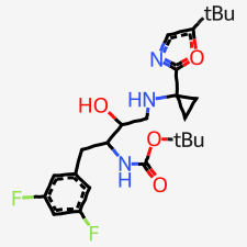 CC(C)(C)OC(=O)NC(Cc1cc(F)cc(F)c1)C(O)CNC1(c2ncc(C(C)(C)C)o2)CC1